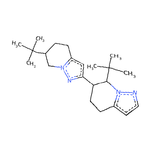 CC(C)(C)C1CCc2cc(C3CCc4ccnn4C3C(C)(C)C)nn2C1